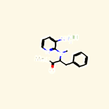 COC(=O)C(Cc1ccccc1)N(C)c1ncccc1N.Cl